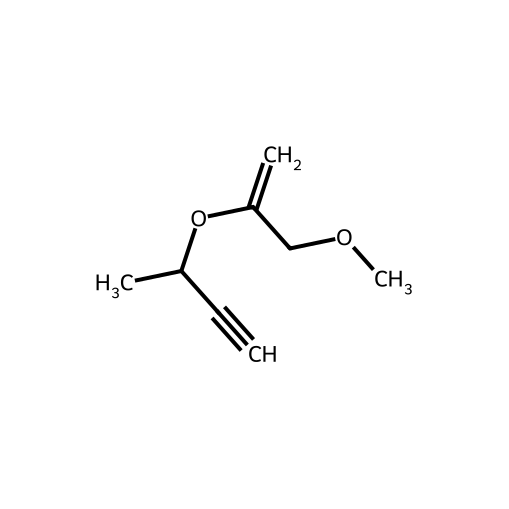 C#CC(C)OC(=C)COC